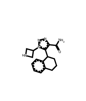 NC(=O)c1nnn(C2CNC2)c1C1CCCc2ccccc21